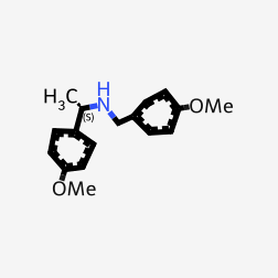 COc1ccc(CN[C@@H](C)c2ccc(OC)cc2)cc1